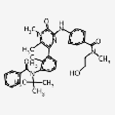 Cc1c(-c2nc(Nc3ccc(C(=O)N(C)CCO)cc3)c(=O)n(C)c2C)cccc1N(C(=O)c1ccccc1)C(C)(C)C